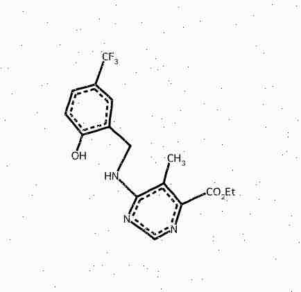 CCOC(=O)c1ncnc(NCc2cc(C(F)(F)F)ccc2O)c1C